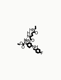 CCNC(=O)CC[C@H](N)C(=O)Nc1cc(NCc2ccc(F)cc2)ccc1NC(=O)OCC